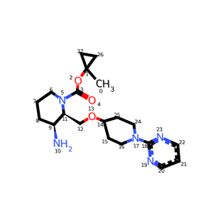 CC1(OC(=O)N2CCC[C@H](N)[C@@H]2COC2CCN(c3ncccn3)CC2)CC1